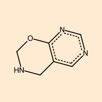 c1ncc2c(n1)OCNC2